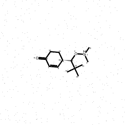 C[SiH](C)OC([C@@H]1C=CC(=O)CC1)C(C)(C)C